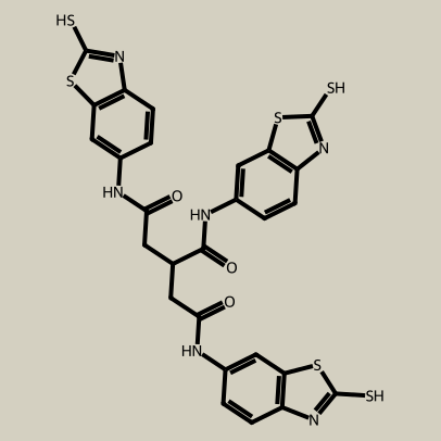 O=C(CC(CC(=O)Nc1ccc2nc(S)sc2c1)C(=O)Nc1ccc2nc(S)sc2c1)Nc1ccc2nc(S)sc2c1